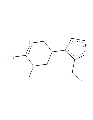 CCc1sccc1C1CN=C(N)N(C)C1